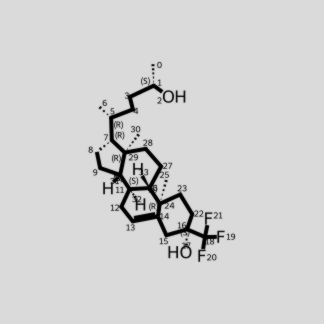 C[C@H](O)CC[C@@H](C)[C@H]1CC[C@H]2[C@@H]3CC=C4C[C@](O)(C(F)(F)F)CC[C@]4(C)[C@H]3CC[C@]12C